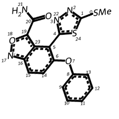 CSc1nnc(-c2c(Oc3ccccc3)ccc3noc(C(N)=O)c23)s1